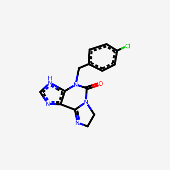 O=C1N2CCN=C2c2nc[nH]c2N1Cc1ccc(Cl)cc1